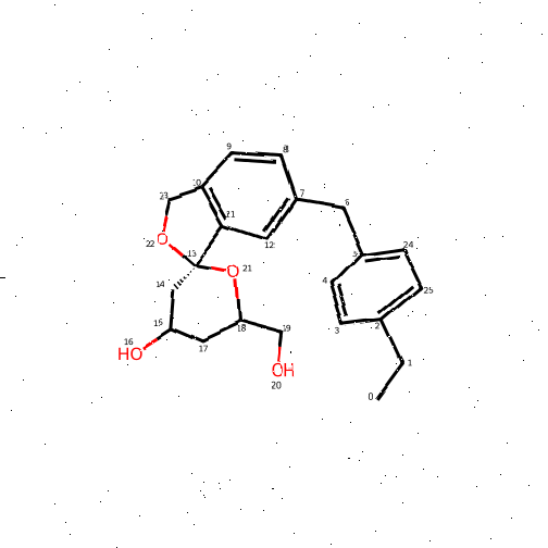 CCc1ccc(Cc2ccc3c(c2)[C@]2(CC(O)CC(CO)O2)OC3)cc1